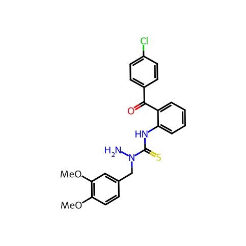 COc1ccc(CN(N)C(=S)Nc2ccccc2C(=O)c2ccc(Cl)cc2)cc1OC